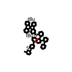 CC1C=CC=C2c3ccc(-c4ccc(N(c5ccc6c(c5)-c5ccccc5C65c6cc(C(C)(C)C)ccc6-c6ccc(C(C)(C)C)cc65)c5ccccc5-c5ccccc5-c5ccccc5-c5ccccc5)cc4)cc3SC21